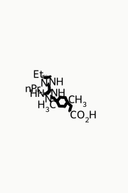 CCCNc1nc(C2(C)CCC(C)(CCC(=O)O)CC2)[nH]c1C1=N[C@H](CC)CN1